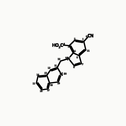 N#Cc1cc(C(=O)O)c2c(ccn2Cc2cc3ccccc3cn2)c1